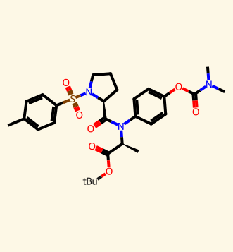 Cc1ccc(S(=O)(=O)N2CCC[C@H]2C(=O)N(c2ccc(OC(=O)N(C)C)cc2)[C@@H](C)C(=O)OC(C)(C)C)cc1